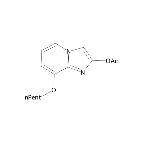 CCCCCOc1cccn2cc(OC(C)=O)nc12